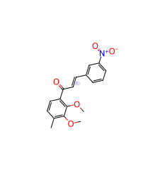 COc1c(C)ccc(C(=O)/C=C/c2cccc([N+](=O)[O-])c2)c1OC